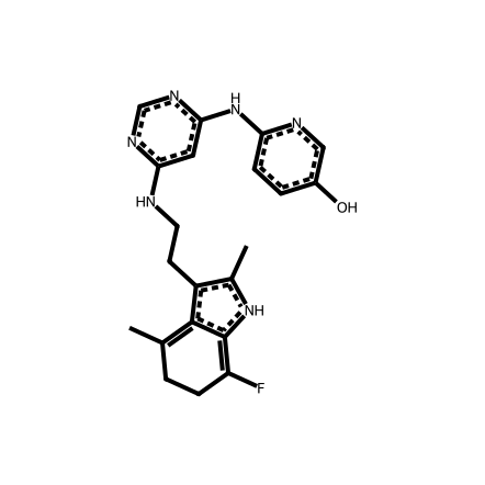 CC1=c2c(CCNc3cc(Nc4ccc(O)cn4)ncn3)c(C)[nH]c2=C(F)CC1